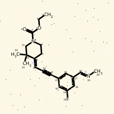 CCOC(=O)N1CC/C(=C\C#Cc2cc(F)cc(/C=N/C)c2)C(C)(C)C1